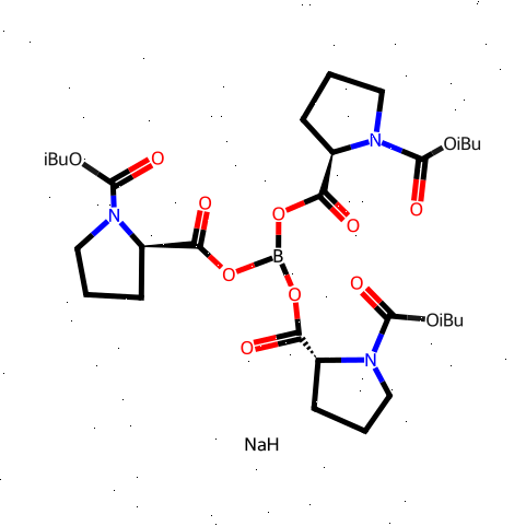 CC(C)COC(=O)N1CCC[C@@H]1C(=O)OB(OC(=O)[C@H]1CCCN1C(=O)OCC(C)C)OC(=O)[C@H]1CCCN1C(=O)OCC(C)C.[NaH]